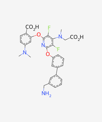 CN(C)c1ccc(C(=O)O)c(Oc2nc(Oc3cccc(-c4cccc(CN)c4)c3)c(F)c(N(C)CC(=O)O)c2F)c1